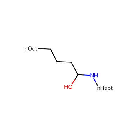 CCCCCCCCCCCC(O)NCCCCCCC